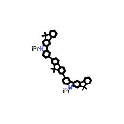 CC(C)n1c2ccc(-c3ccc4c(c3)C(C)(C)c3cc(-c5ccc6c(c5)c5cc7c(cc5n6C(C)C)C(C)(C)c5ccccc5-7)ccc3-4)cc2c2cc3c(cc21)C(C)(C)c1ccccc1-3